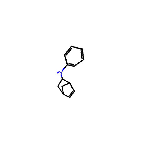 C1=CC2CC1CC2Nc1ccccc1